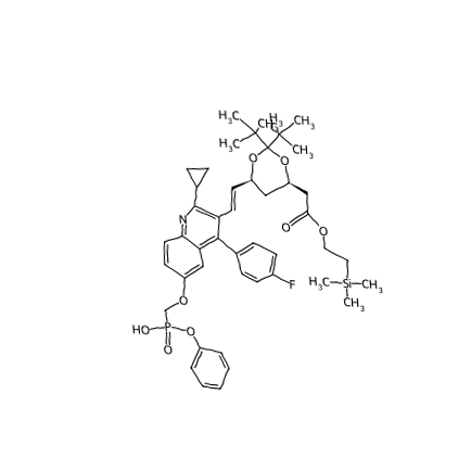 CC(C)(C)C1(C(C)(C)C)O[C@@H](CC(=O)OCC[Si](C)(C)C)C[C@@H](/C=C/c2c(C3CC3)nc3ccc(OCP(=O)(O)Oc4ccccc4)cc3c2-c2ccc(F)cc2)O1